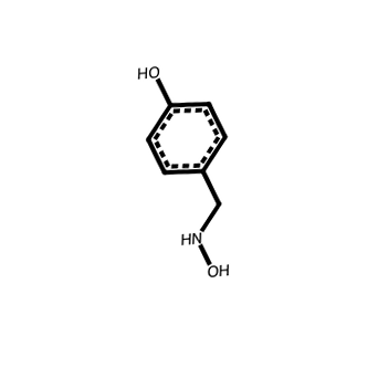 ONCc1ccc(O)cc1